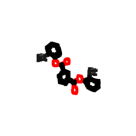 CCc1ccccc1OC(=O)c1cccc(C(=O)Oc2ccccc2CC)c1